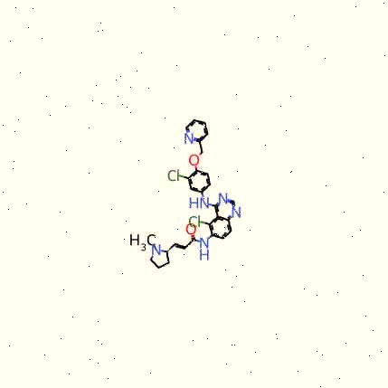 CN1CCC[C@@H]1/C=C/C(=O)Nc1ccc2ncnc(Nc3ccc(OCc4ccccn4)c(Cl)c3)c2c1Cl